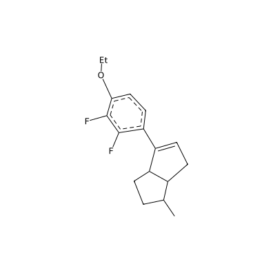 CCOc1ccc(C2=CCC3C(C)CCC23)c(F)c1F